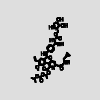 C=Cc1cc(C(=O)Nc2ccc(C(=N)NC(=O)OC[C@H]3NC[C@H](O)[C@@H]3O)cc2)c(-c2ccc(C3OC3NCC3CC3)nc2C(=O)OC(C)OC(=O)OC(C)C)cc1OC